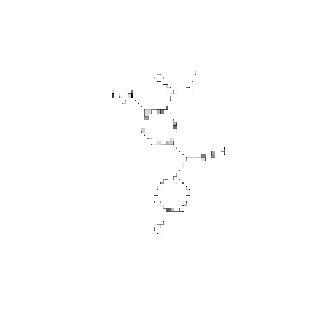 COC(=O)c1cc(C(C#N)c2ccc(Cl)cc2)ccc1N